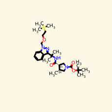 C[C@H]1CN(C(=O)OC(C)(C)C)C[C@H]1C(=O)NC(C)(C)c1nn(COCCS(C)(C)C)c2ccccc12